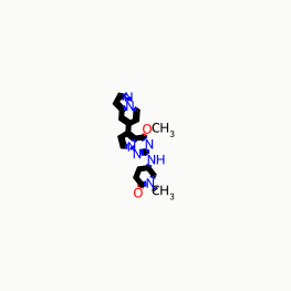 COc1nc(NC2CCC(=O)N(C)C2)nn2ccc(-c3ccn4nccc4c3)c12